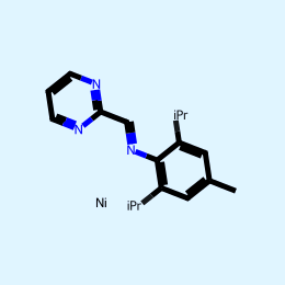 Cc1cc(C(C)C)c(N=Cc2ncccn2)c(C(C)C)c1.[Ni]